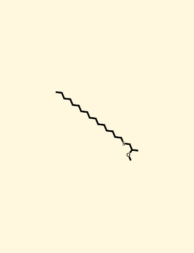 CCCCCCCCCCCCCCCCSCC(C)OC